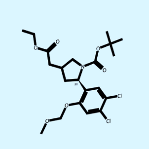 CCOC(=O)CC1C[C@H](c2cc(Cl)c(Cl)cc2OCOC)N(C(=O)OC(C)(C)C)C1